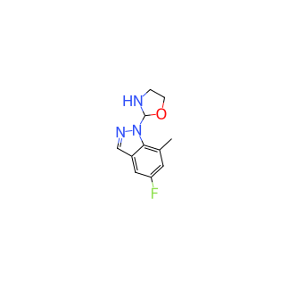 Cc1cc(F)cc2cnn(C3NCCO3)c12